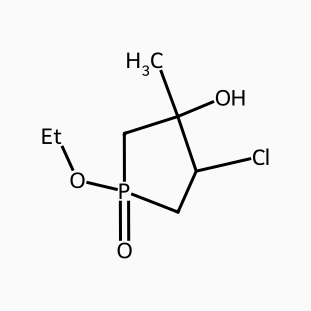 CCOP1(=O)CC(Cl)C(C)(O)C1